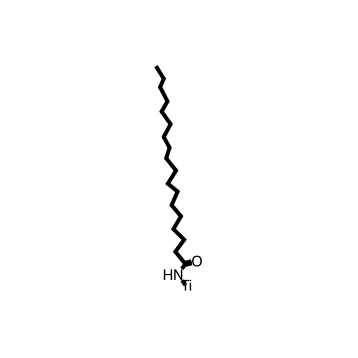 CCCCCCCCCCCCCCCCCC(=O)[NH][Ti]